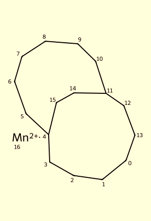 C1CCCC2CCCCCCC(CC1)CC2.[Mn+2]